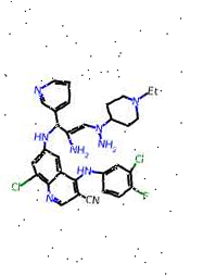 CCN1CCC(N(N)/C=C(\N)C(Nc2cc(Cl)c3ncc(C#N)c(Nc4ccc(F)c(Cl)c4)c3c2)c2cccnc2)CC1